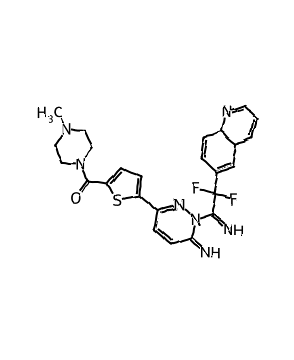 CN1CCN(C(=O)c2ccc(-c3ccc(=N)n(C(=N)C(F)(F)C4=CC5C=CC=NC5C=C4)n3)s2)CC1